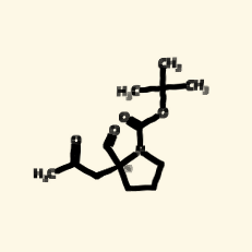 CC(=O)C[C@]1(C=O)CCCN1C(=O)OC(C)(C)C